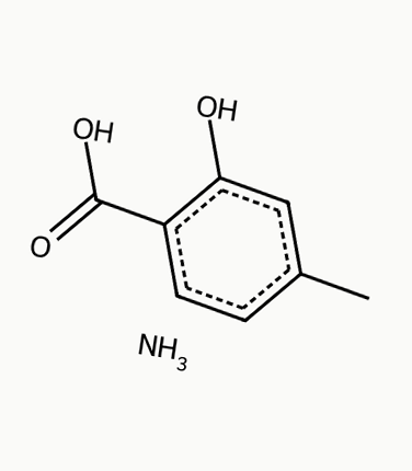 Cc1ccc(C(=O)O)c(O)c1.N